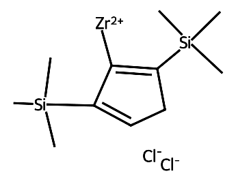 C[Si](C)(C)C1=CCC([Si](C)(C)C)=[C]1[Zr+2].[Cl-].[Cl-]